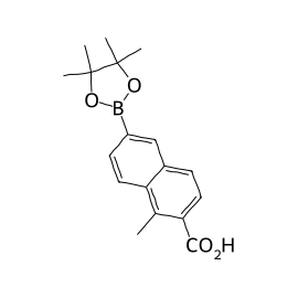 Cc1c(C(=O)O)ccc2cc(B3OC(C)(C)C(C)(C)O3)ccc12